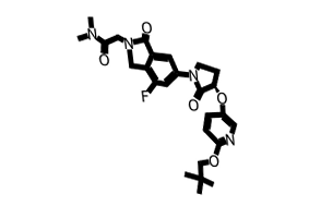 CN(C)C(=O)CN1Cc2c(F)cc(N3CC[C@@H](Oc4ccc(OCC(C)(C)C)nc4)C3=O)cc2C1=O